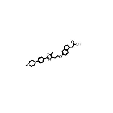 Cc1oc(-c2ccc(N3CCN(C)CC3)cc2)nc1CCOc1ccc2c(c1)CC[C@H]2CC(=O)O